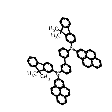 CC1(C)c2ccccc2-c2ccc(N(c3cccc(-c4cccc(N(c5ccc6c(c5)C(C)(C)c5ccccc5-6)c5cc6ccc7cccc8ccc(c5)c6c78)c4)c3)c3cc4ccc5cccc6ccc(c3)c4c56)cc21